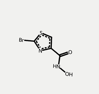 O=C(NO)c1csc(Br)n1